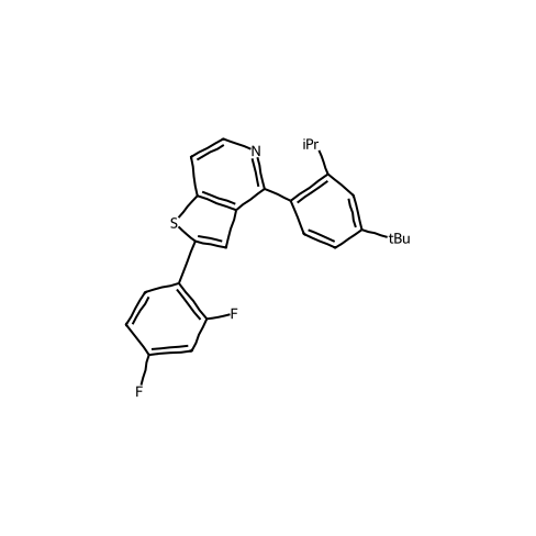 CC(C)c1cc(C(C)(C)C)ccc1-c1nccc2sc(-c3ccc(F)cc3F)cc12